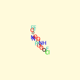 O=C(COc1ccc(Cl)c(F)c1)N[C@@H]1CO[C@@H](c2nnc([C@H]3C[C@@H](OC(F)(F)F)C3)o2)CC1(F)F